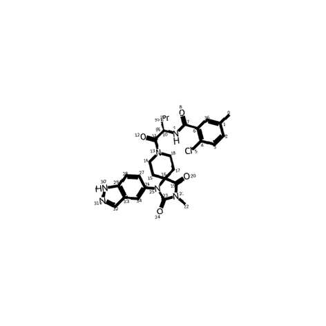 Cc1ccc(Cl)c(C(=O)N[C@@H](C(=O)N2CCC3(CC2)C(=O)N(C)C(=O)N3c2ccc3[nH]ncc3c2)C(C)C)c1